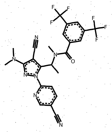 CC(c1c(C#N)c(N(C)C)nn1-c1ccc(C#N)cn1)N(C)C(=O)c1cc(C(F)(F)F)cc(C(F)(F)F)c1